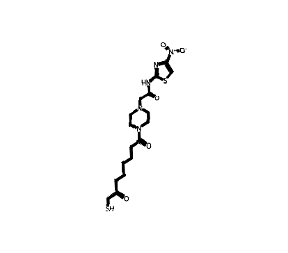 O=C(CS)CCCCCC(=O)N1CCN(CC(=O)Nc2nc([N+](=O)[O-])cs2)CC1